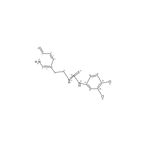 C=C/C=C\C(=C/N)CCNC(=S)Nc1ccc(Cl)c(Cl)c1